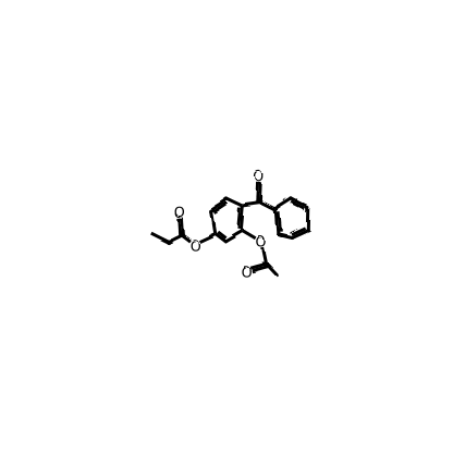 CCC(=O)Oc1ccc(C(=O)c2ccccc2)c(OC(C)=O)c1